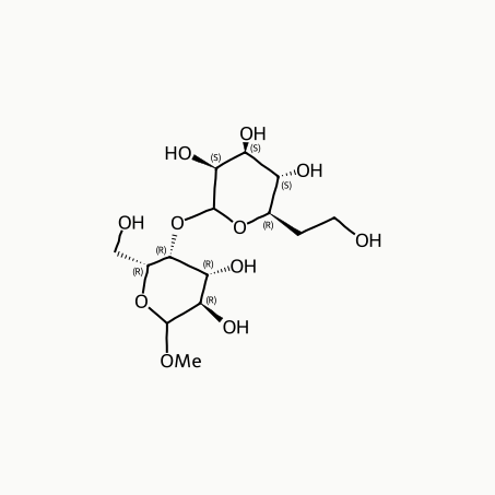 COC1O[C@H](CO)[C@H](OC2O[C@H](CCO)[C@@H](O)[C@H](O)[C@@H]2O)[C@H](O)[C@H]1O